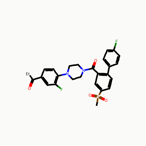 CCC(=O)c1ccc(N2CCN(C(=O)c3cc(S(C)(=O)=O)ccc3-c3ccc(F)cc3)CC2)c(F)c1